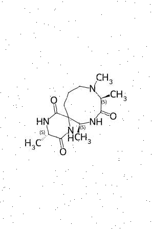 C[C@@H]1NC(=O)C2(CCCN(C)[C@@H](C)C(=O)N[C@H]2C)NC1=O